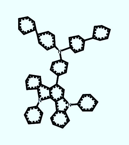 c1ccc(-c2ccc(N(c3ccc(-c4ccccc4)cc3)c3ccc(-c4cc5c(c6ccccc6n5-c5ccccc5)c5c4c4ccccc4n5-c4ccccc4)cc3)cc2)cc1